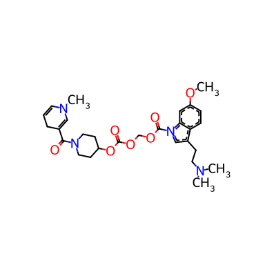 COc1ccc2c(CCN(C)C)cn(C(=O)OCOC(=O)OC3CCN(C(=O)C4=CN(C)C=CC4)CC3)c2c1